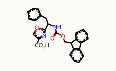 O=C(NC(Cc1ccccc1)c1nc(C(=O)O)co1)OCC1c2ccccc2-c2ccccc21